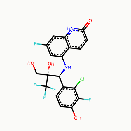 O=c1ccc2c(N[C@@H](c3ccc(O)c(F)c3Cl)[C@](O)(CO)C(F)(F)F)cc(F)cc2[nH]1